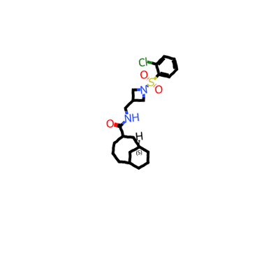 O=C(NCC1CN(S(=O)(=O)c2ccccc2Cl)C1)C1CCCC2CCC[C@@H](C2)C1